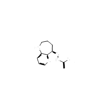 C=C(N)N/N=C1/CCCNc2cccnc21